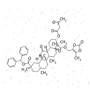 Cc1oc(=O)oc1COC(=O)[C@]1(C)[C@@H](OC(=O)C[S+](C)[O-])CC[C@@]2(C)[C@H]1CC[C@]1(C)[C@@H]2C(=O)C=C2[C@@H]3C[C@@](C)(C(=O)OC(c4ccccc4)c4ccccc4)CC[C@]3(C)CC[C@]21C